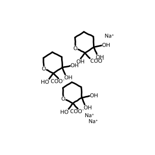 O=C([O-])C1(O)OCCCC1(O)O.O=C([O-])C1(O)OCCCC1(O)O.O=C([O-])C1(O)OCCCC1(O)O.[Na+].[Na+].[Na+]